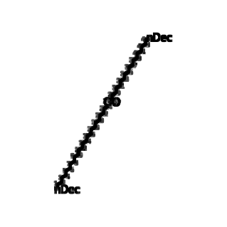 CCCCCCCCCCCCCCCCCCCCCCCCCCCCCCCCCCOC(=O)CCCCCCCCCCCCCCCCCCCCCCCCCCC